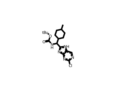 CC1CCC(C(NC(=O)OC(C)(C)C)c2nc3nc(Cl)ncc3[nH]2)CC1